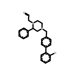 O=CCN1CCN(Cc2ccc(-c3ccccc3Cl)cc2)CC1c1ccccc1